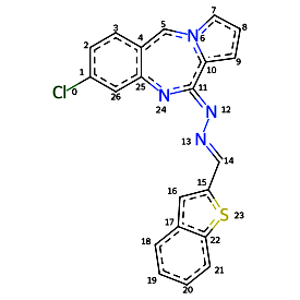 Clc1ccc2cn3cccc3c(=NN=Cc3cc4ccccc4s3)nc2c1